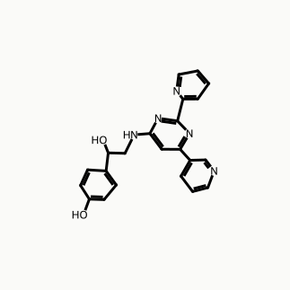 Oc1ccc(C(O)CNc2cc(-c3cccnc3)nc(-c3ccccn3)n2)cc1